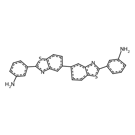 Nc1cccc(-c2nc3cc(-c4ccc5sc(-c6cccc(N)c6)nc5c4)ccc3s2)c1